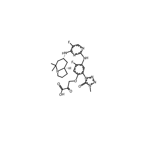 Cn1nnn(-c2cc(Nc3ncc(F)c(N[C@@H]4C[C@H]5CCCN5C(C)(C)C4)n3)c(F)cc2OCC(=O)C(=O)O)c1=O